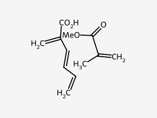 C=C(C)C(=O)OC.C=CC=CC(=C)C(=O)O